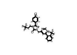 O=c1n(Cc2cc(-c3ccccc3C(F)(F)F)ncn2)nc(-c2ccc(Cl)cc2)n1CCC(F)(F)F